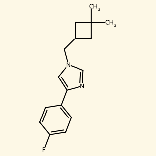 CC1(C)CC(Cn2cnc(-c3ccc(F)cc3)c2)C1